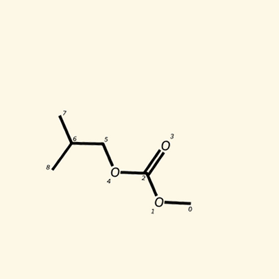 COC(=O)OCC(C)C